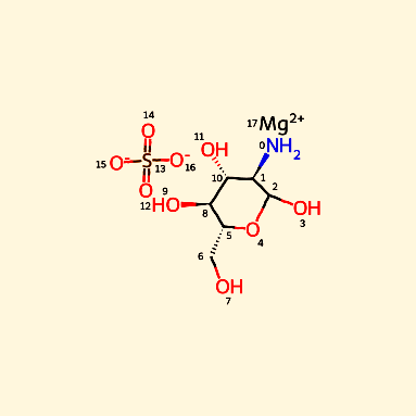 N[C@H]1C(O)O[C@H](CO)[C@@H](O)[C@@H]1O.O=S(=O)([O-])[O-].[Mg+2]